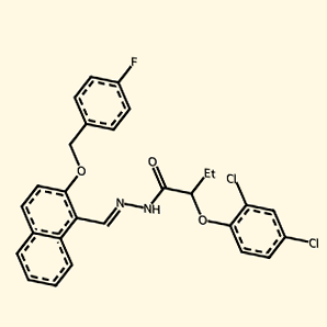 CCC(Oc1ccc(Cl)cc1Cl)C(=O)NN=Cc1c(OCc2ccc(F)cc2)ccc2ccccc12